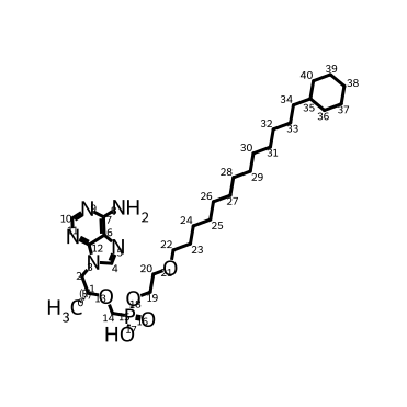 C[C@H](Cn1cnc2c(N)ncnc21)OCP(=O)(O)OCCOCCCCCCCCCCCCCC1CCCCC1